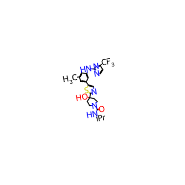 Cc1cc(Nc2nccc(C(F)(F)F)n2)cc(-c2cnc(C3(O)CCN(C(=O)NC(C)C)CC3)s2)c1